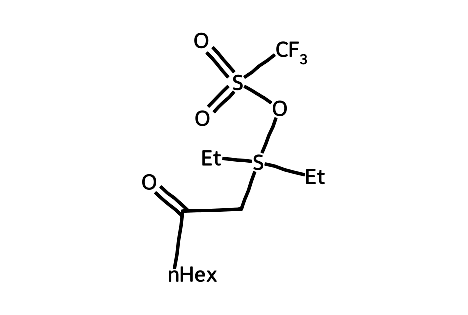 CCCCCCC(=O)CS(CC)(CC)OS(=O)(=O)C(F)(F)F